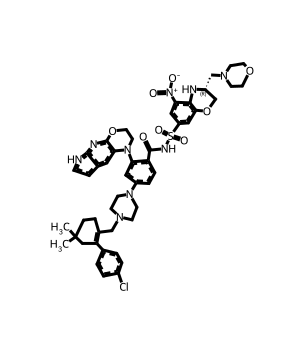 CC1(C)CCC(CN2CCN(c3ccc(C(=O)NS(=O)(=O)c4cc5c(c([N+](=O)[O-])c4)N[C@H](CN4CCOCC4)CO5)c(N4CCOc5nc6[nH]ccc6cc54)c3)CC2)=C(c2ccc(Cl)cc2)C1